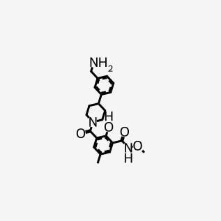 CONC(=O)c1cc(C)cc(C(=O)N2CCC(c3cccc(CN)c3)CC2)c1O